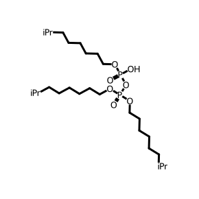 CC(C)CCCCCCOP(=O)(O)OP(=O)(OCCCCCCC(C)C)OCCCCCCC(C)C